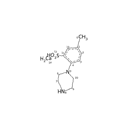 Cc1ccc(N2CCNCC2)c(S(=O)(=O)O)c1.[CaH2]